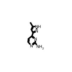 Cc1cc(-c2ccnc(N)n2)n[nH]1